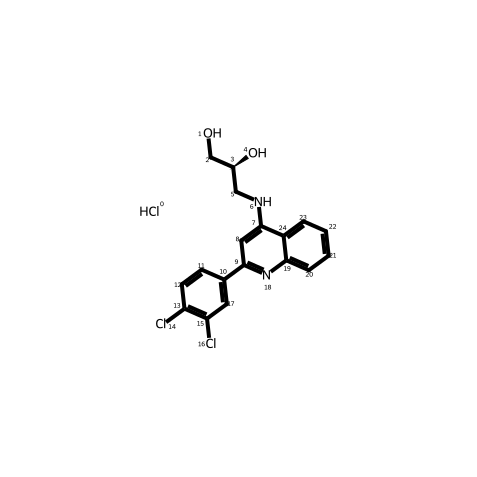 Cl.OC[C@@H](O)CNc1cc(-c2ccc(Cl)c(Cl)c2)nc2ccccc12